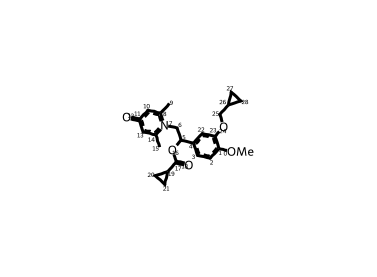 COc1ccc(C(Cn2c(C)cc(=O)cc2C)OC(=O)C2CC2)cc1OCC1CC1